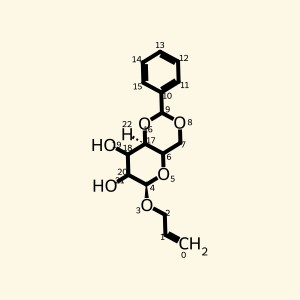 C=CCO[C@@H]1OC2COC(c3ccccc3)O[C@@H]2C(O)C1O